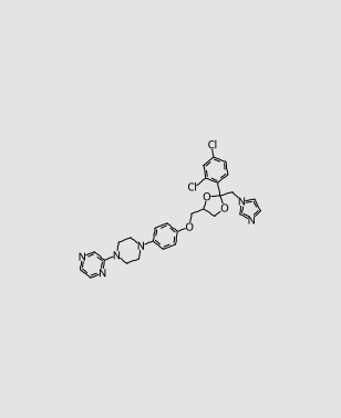 Clc1ccc(C2(Cn3ccnc3)OCC(COc3ccc(N4CCN(c5cnccn5)CC4)cc3)O2)c(Cl)c1